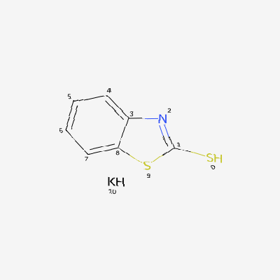 Sc1nc2ccccc2s1.[KH]